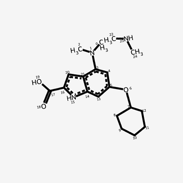 CN(C)c1cc(OC2CCCCC2)cc2[nH]c(C(=O)O)cc12.CNC